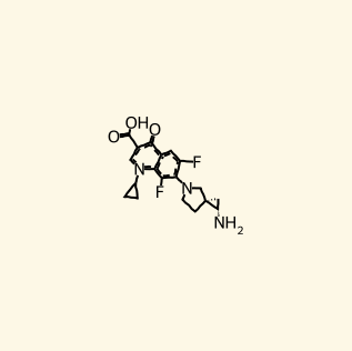 N[C@H]1C[C@@]12CCN(c1c(F)cc3c(=O)c(C(=O)O)cn(C4CC4)c3c1F)C2